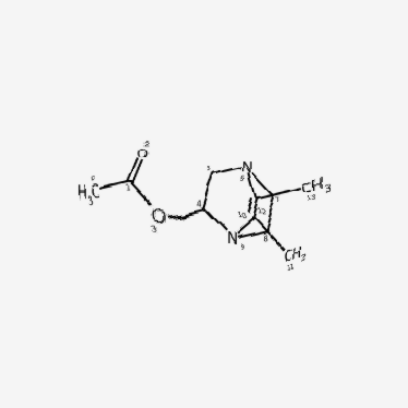 CC(=O)OC1CN2CCN1C(C)=C2C